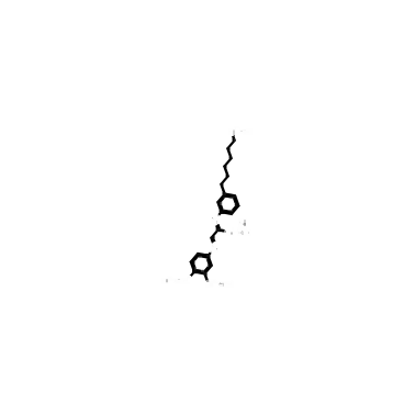 CCCCCCCCCCCCCCCCc1cccc(/N=C(/C=N/c2ccc(CCCCC)c(CCCCC)c2)CCCCCC)c1.[Ni]